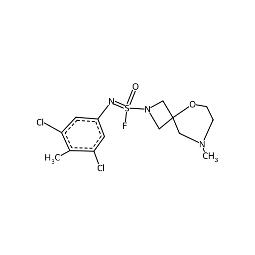 Cc1c(Cl)cc(N=S(=O)(F)N2CC3(CN(C)CCO3)C2)cc1Cl